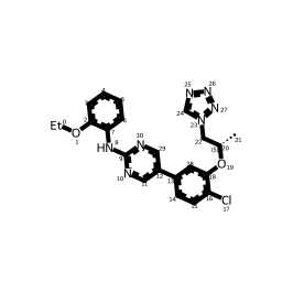 CCOc1ccccc1Nc1ncc(-c2ccc(Cl)c(O[C@@H](C)Cn3cnnn3)c2)cn1